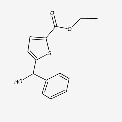 CCOC(=O)c1ccc(C(O)c2ccccc2)s1